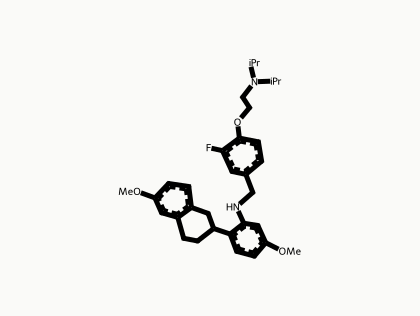 COc1ccc2c(c1)CCC(c1ccc(OC)cc1NCc1ccc(OCCN(C(C)C)C(C)C)c(F)c1)C2